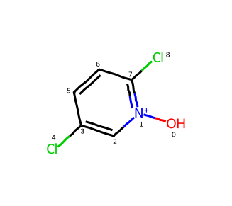 O[n+]1cc(Cl)ccc1Cl